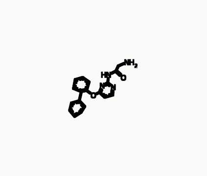 NCC(=O)Nc1nccc(Oc2ccccc2-c2ccccc2)n1